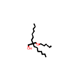 CCCCCCCC(CO)(CCCCCCC)COCCCCC